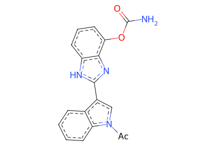 CC(=O)n1cc(-c2nc3c(OC(N)=O)cccc3[nH]2)c2ccccc21